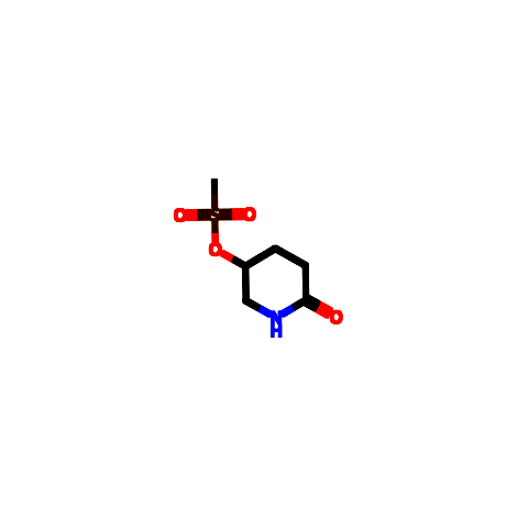 CS(=O)(=O)OC1CCC(=O)NC1